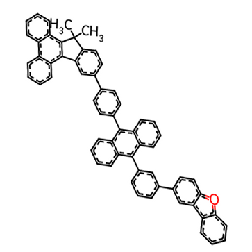 CC1(C)c2ccc(-c3ccc(-c4c5ccccc5c(-c5cccc(-c6ccc7oc8ccccc8c7c6)c5)c5ccccc45)cc3)cc2-c2c1c1ccccc1c1ccccc21